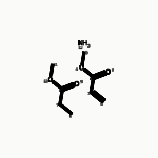 C=CC(=O)OC.CCC(=O)OC.N